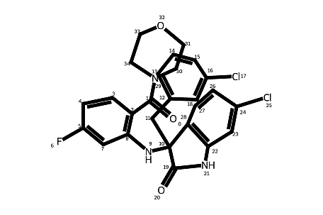 O=C(c1ccc(F)cc1NC1(Cc2cccc(Cl)c2)C(=O)Nc2cc(Cl)ccc21)N1CCOCC1